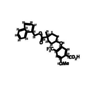 COc1cc(C(F)(F)F)c(OC2CCC(C)(C(=O)OCc3cccc4ccccc34)CC2)cc1C(=O)O